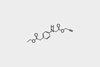 C#CCOC(=O)CNc1ccc(CC(=O)OCC)cc1